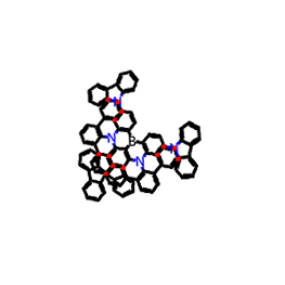 c1ccc(-c2cccc(-c3ccccc3)c2N2c3cc(-n4c5ccccc5c5ccccc54)ccc3B3c4ccc(-n5c6ccccc6c6ccccc65)cc4N(c4c(-c5ccccc5)cccc4-c4ccccc4)c4cc(C5(c6ccccc6)c6ccccc6-c6ccccc65)cc2c43)cc1